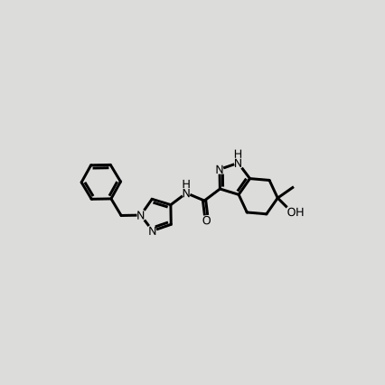 CC1(O)CCc2c(C(=O)Nc3cnn(Cc4ccccc4)c3)n[nH]c2C1